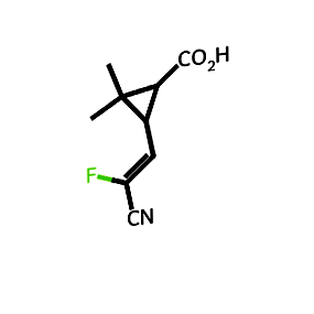 CC1(C)C(/C=C(\F)C#N)C1C(=O)O